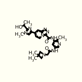 Cc1ncc(NC(=O)CN2CC(C)(C)C2)cc1NC(=O)c1nnc2cc(-c3cn(C)c(C(C)O)n3)ccn12